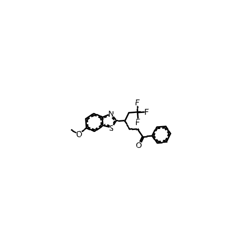 COc1ccc2nc(C(CCC(=O)c3ccccc3)CC(F)(F)F)sc2c1